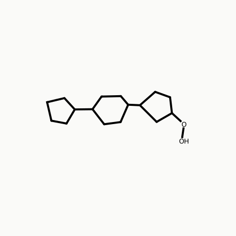 OOC1CCC(C2CCC(C3CCCC3)CC2)C1